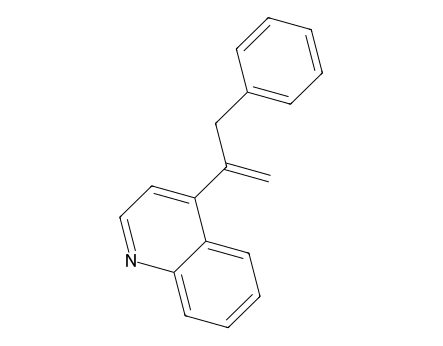 C=C(Cc1ccccc1)c1ccnc2ccccc12